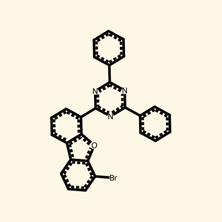 Brc1cccc2c1oc1c(-c3nc(-c4ccccc4)nc(-c4ccccc4)n3)cccc12